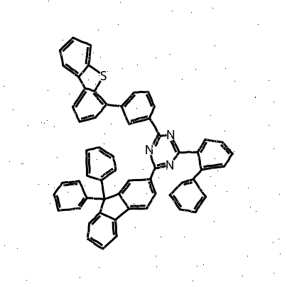 c1ccc(-c2ccccc2-c2nc(-c3cccc(-c4cccc5c4sc4ccccc45)c3)nc(-c3ccc4c(c3)C(c3ccccc3)(c3ccccc3)c3ccccc3-4)n2)cc1